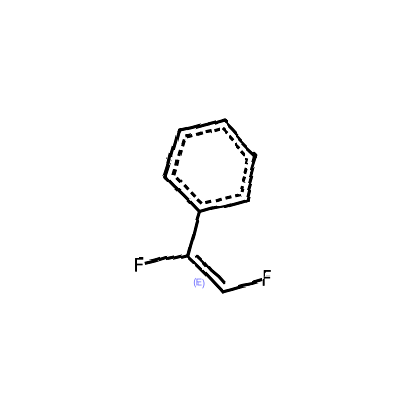 F/C=C(/F)c1ccccc1